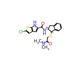 CN(C)C(=O)CS[C@@H]1c2ccccc2C[C@H]1NC(=O)c1cc2cc(Cl)sc2[nH]1